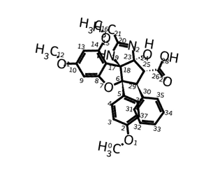 COc1ccc([C@@]23Oc4cc(OC)cc(OC)c4[C@@]24NC(C)=N[C@@]4(O)[C@H](C(=O)O)[C@H]3c2ccccc2)cc1